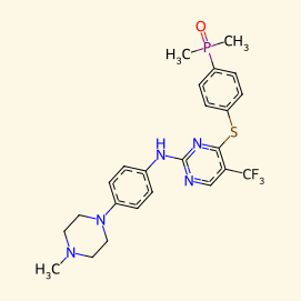 CN1CCN(c2ccc(Nc3ncc(C(F)(F)F)c(Sc4ccc(P(C)(C)=O)cc4)n3)cc2)CC1